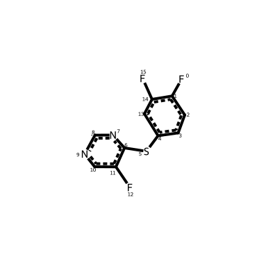 Fc1ccc(Sc2n[c]ncc2F)cc1F